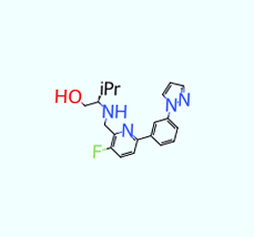 CC(C)[C@H](CO)NCc1nc(-c2cccc(-n3cccn3)c2)ccc1F